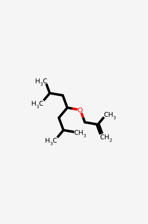 C=C(C)COC(CC(C)C)CC(C)C